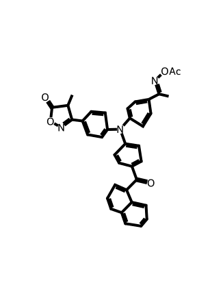 CC(=O)O/N=C(\C)c1ccc(N(c2ccc(C(=O)c3cccc4ccccc34)cc2)c2ccc(C3=NOC(=O)C3C)cc2)cc1